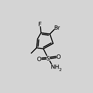 Cc1cc(F)c(Br)cc1S(N)(=O)=O